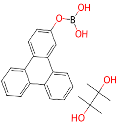 CC(C)(O)C(C)(C)O.OB(O)Oc1ccc2c3ccccc3c3ccccc3c2c1